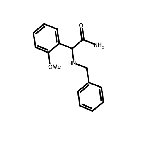 COc1ccccc1C(NCc1ccccc1)C(N)=O